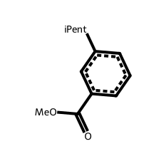 CCCC(C)c1cccc(C(=O)OC)c1